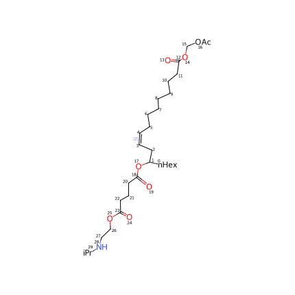 CCCCCCC(C/C=C\CCCCCCCC(=O)OCOC(C)=O)OC(=O)CCCC(=O)OCCNC(C)C